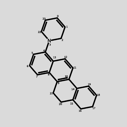 C1=CCN(c2cccc3c4c(ccc23)C2=C(CCC=C2)CC4)C=C1